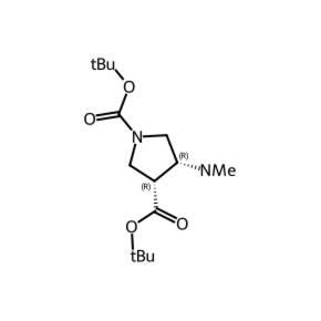 CN[C@H]1CN(C(=O)OC(C)(C)C)C[C@H]1C(=O)OC(C)(C)C